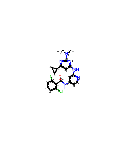 CN(C)c1nc(Nc2cc(NC(=O)c3c(Cl)cccc3Cl)ccn2)cc(C2CC2)n1